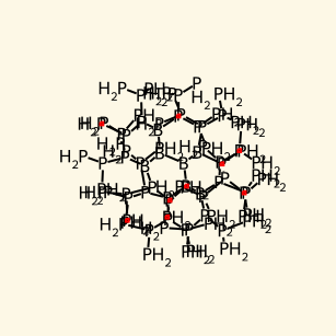 PP(P)P(B(B(B(B(B(P(P(P)P)P(P)P)P(P(P)P)P(P)P)B(P(P(P)P)P(P)P)P(P(P)P)P(P)P)B(P(P(P)P)P(P)P)P(P(P)P)P(P(P)P)P(P)P)B(P(P(P)P)P(P)P)P(P(P)P)P(P)P)P(P(P)P)P(P)P)P(P)P